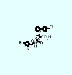 O=C(Cc1ccc(Br)cc1Br)N[C@@H]1C(=O)N2C(C(=O)O)=C(Sc3ccccc3-c3ccc(CCl)cc3)CS[C@@H]12